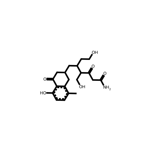 Cc1ccc(O)c2c1CC(CC(CCO)C(CO)C(=O)CC(N)=O)CC2=O